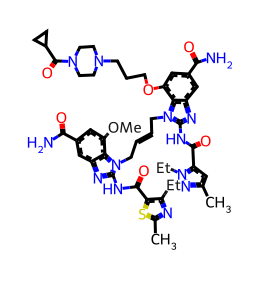 CCc1nc(C)sc1C(=O)Nc1nc2cc(C(N)=O)cc(OC)c2n1C/C=C/Cn1c(NC(=O)c2cc(C)nn2CC)nc2cc(C(N)=O)cc(OCCCN3CCN(C(=O)C4CC4)CC3)c21